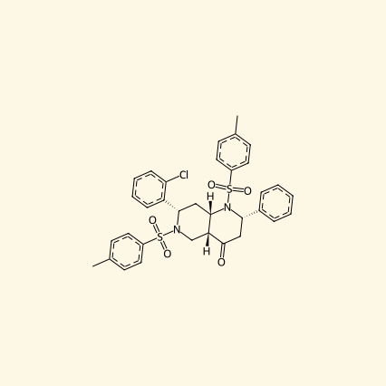 Cc1ccc(S(=O)(=O)N2C[C@H]3C(=O)C[C@@H](c4ccccc4)N(S(=O)(=O)c4ccc(C)cc4)[C@H]3C[C@H]2c2ccccc2Cl)cc1